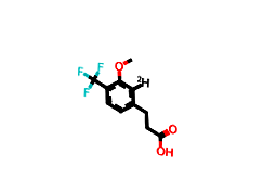 [2H]c1c(CCC(=O)O)ccc(C(F)(F)F)c1OC